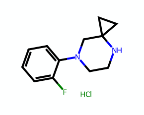 Cl.Fc1ccccc1N1CCNC2(CC2)C1